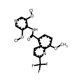 COc1ccc(C(=O)Nc2c(OCl)cncc2OCl)c2ccc(C(F)(F)F)nc12